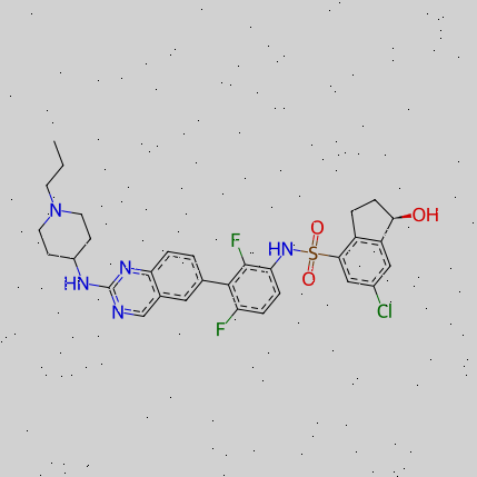 CCCN1CCC(Nc2ncc3cc(-c4c(F)ccc(NS(=O)(=O)c5cc(Cl)cc6c5CC[C@H]6O)c4F)ccc3n2)CC1